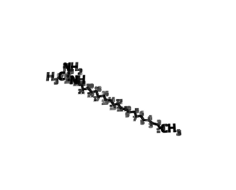 CCCCCCCCCCCCCCCCCCCCCCCCNCC(C)CN